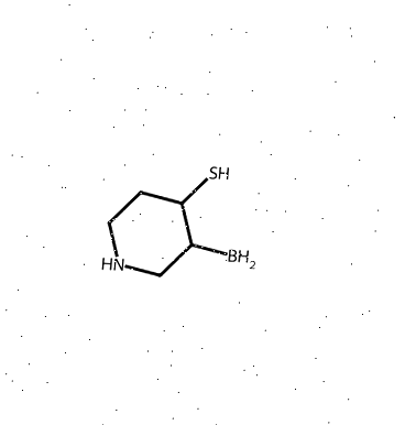 BC1CNCCC1S